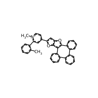 Cc1ccccc1-c1cc(-c2cc3oc4c(c3o2)-c2ccccc2-c2ccccc2-c2ccccc2-4)cc[n+]1C